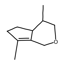 CC1=C2COCC(C)C2CC1